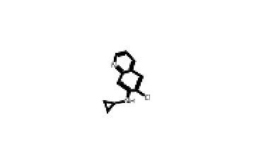 Clc1cc2cccnc2cc1NC1CC1